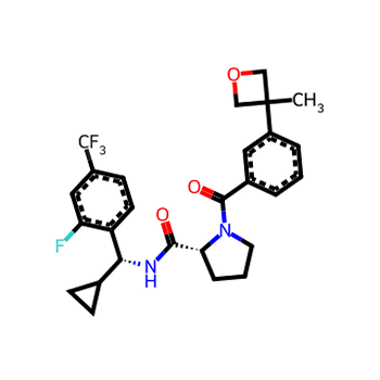 CC1(c2cccc(C(=O)N3CCC[C@@H]3C(=O)N[C@@H](c3ccc(C(F)(F)F)cc3F)C3CC3)c2)COC1